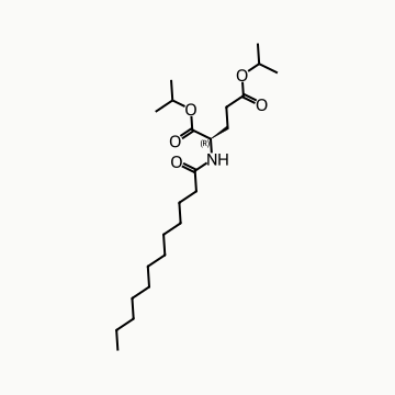 CCCCCCCCCCCC(=O)N[C@H](CCC(=O)OC(C)C)C(=O)OC(C)C